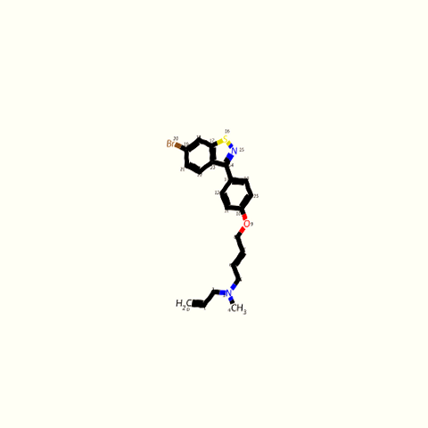 C=CCN(C)CC=CCOc1ccc(-c2nsc3cc(Br)ccc23)cc1